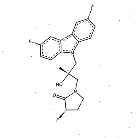 C[C@](O)(CN1CC[C@@H](F)C1=O)Cn1c2ccc(F)cc2c2cc(F)ccc21